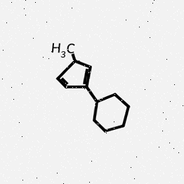 C[C]1C=CC(C2CCCCC2)=C1